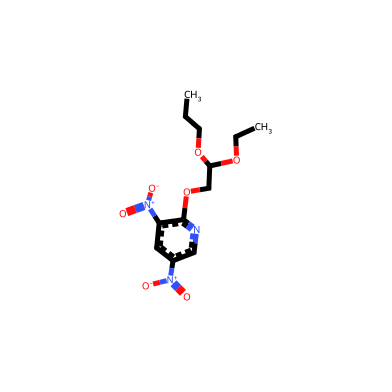 CCCOC(COc1ncc([N+](=O)[O-])cc1[N+](=O)[O-])OCC